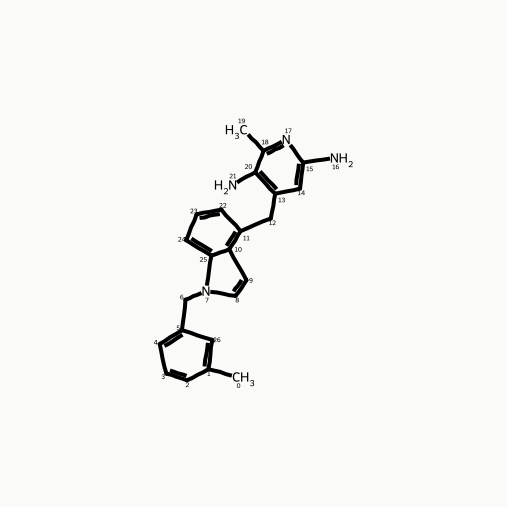 Cc1cccc(Cn2ccc3c(Cc4cc(N)nc(C)c4N)cccc32)c1